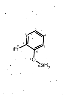 CC(C)c1ccccc1O[SiH3]